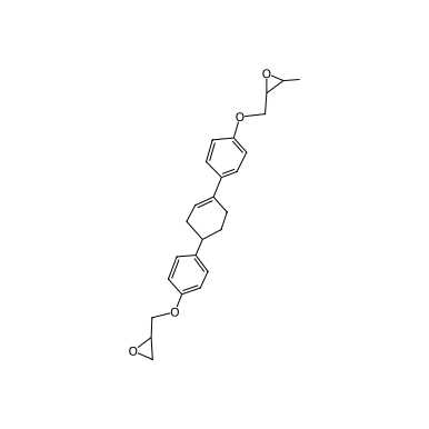 CC1OC1COc1ccc(C2=CCC(c3ccc(OCC4CO4)cc3)CC2)cc1